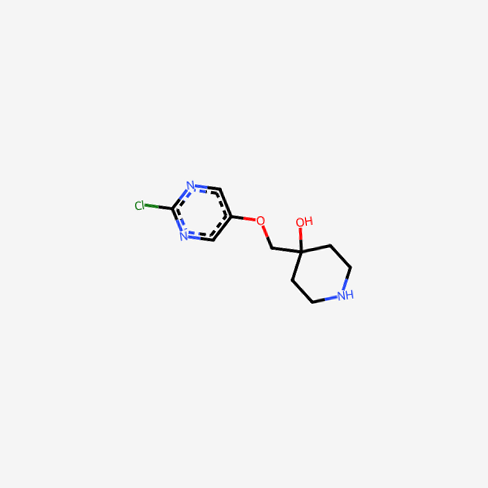 OC1(COc2cnc(Cl)nc2)CCNCC1